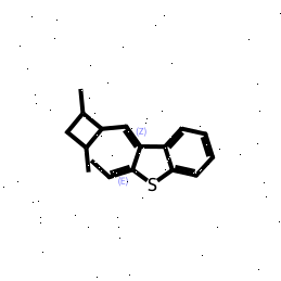 C/C=c1/sc2ccccc2/c1=C/C1C(C)CC1C